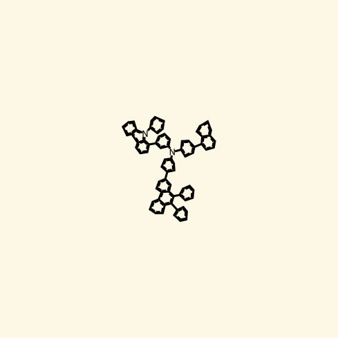 c1ccc(-c2c(-c3ccccc3)c3cc(-c4ccc(N(c5ccc(-c6cccc7ccccc67)cc5)c5cccc(-c6cccc7c8ccccc8n(-c8ccccc8)c67)c5)cc4)ccc3c3ccccc23)cc1